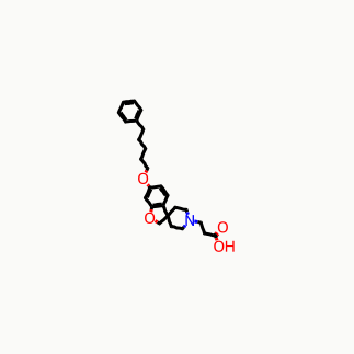 O=C(O)CCN1CCC2(CC1)COc1cc(OCCCCCc3ccccc3)ccc12